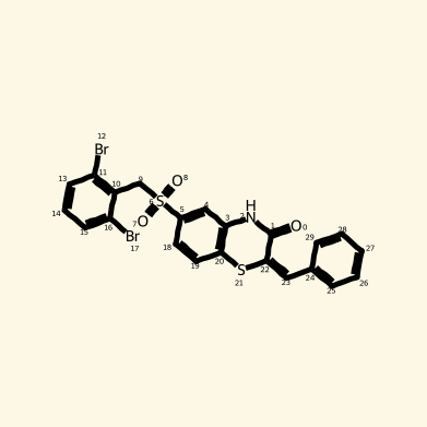 O=C1Nc2cc(S(=O)(=O)Cc3c(Br)cccc3Br)ccc2S/C1=C/c1ccccc1